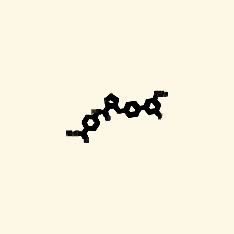 COC(=O)C1CCC(NC(=O)c2sccc2Cc2ccc(-c3cc(F)cc(OC)c3)cc2)CC1